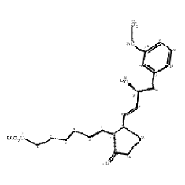 CCOC(=O)CCCCCCN1C(=O)CC[C@@H]1C=C[C@@H](O)Cc1cccc(OC(F)(F)F)c1